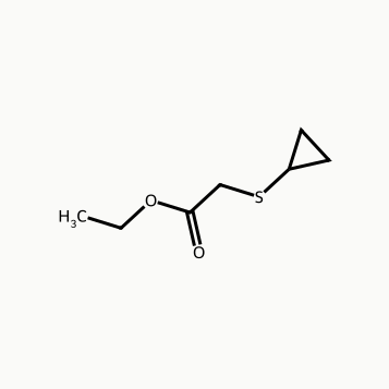 CCOC(=O)CSC1CC1